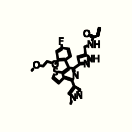 C=CC(=O)NCc1cc(-c2nc(-c3cnn(C)c3)c3ccsc3c2-c2ccc(F)cc2OCCOC)n[nH]1